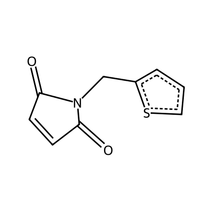 O=C1C=CC(=O)N1Cc1cccs1